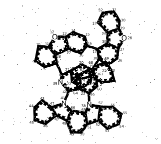 c1ccc(-c2nc(-c3cccc4oc5ccc(-c6c(-c7ccccc7)ccc7oc8ccccc8c67)cc5c34)nc(-n3c4ccccc4c4ccc5c6ccccc6n(-c6ccccc6)c5c43)n2)cc1